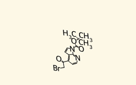 CC(C)(C)OC(=O)n1ccc2c(C(=O)CBr)ccnc21